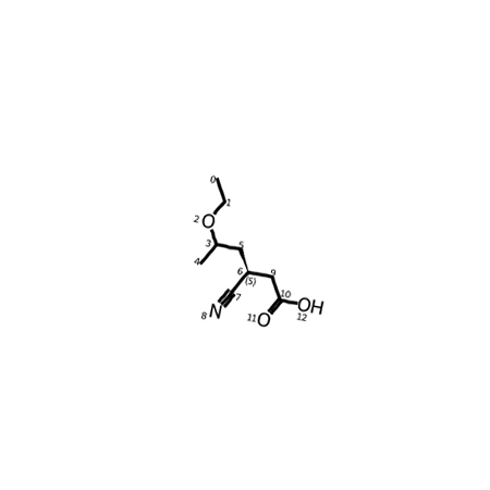 CCOC(C)C[C@H](C#N)CC(=O)O